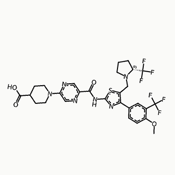 COc1ccc(-c2nc(NC(=O)c3cnc(N4CCC(C(=O)O)CC4)cn3)sc2CN2CCC[C@@H]2C(F)(F)F)cc1C(F)(F)F